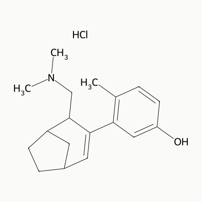 Cc1ccc(O)cc1C1=CC2CCC(C2)C1CN(C)C.Cl